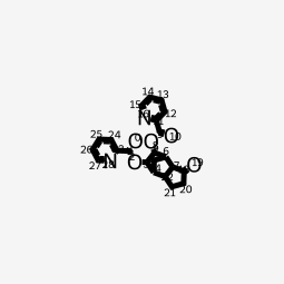 O=C(OC1C2CC(C1OC(=O)c1ccccn1)C1C(=O)CCC21)c1ccccn1